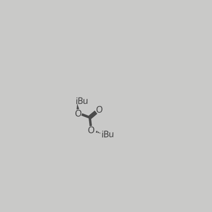 CC[C@@H](C)OC(=O)O[C@H](C)CC